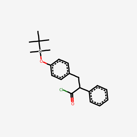 CC(C)(C)[Si](C)(C)Oc1ccc(CC(C(=O)Cl)c2ccccc2)cc1